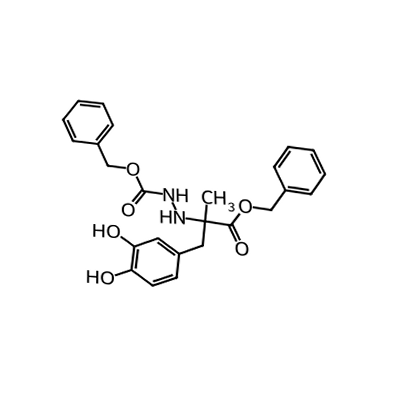 CC(Cc1ccc(O)c(O)c1)(NNC(=O)OCc1ccccc1)C(=O)OCc1ccccc1